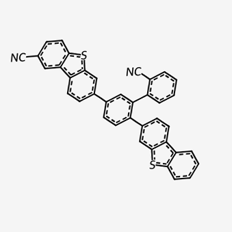 N#Cc1ccc2sc3cc(-c4ccc(-c5ccc6c(c5)sc5ccccc56)c(-c5ccccc5C#N)c4)ccc3c2c1